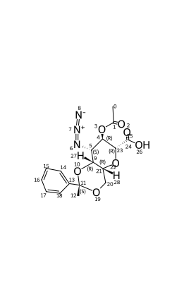 CC(=O)O[C@@H]1[C@@H](N=[N+]=[N-])[C@H]2O[C@@](C)(c3ccccc3)OC[C@H]2O[C@H]1C(=O)O